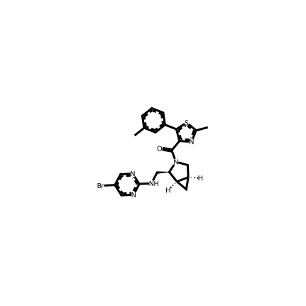 Cc1cccc(-c2sc(C)nc2C(=O)N2C[C@H]3C[C@H]3[C@H]2CNc2ncc(Br)cn2)c1